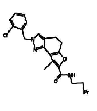 Cc1c(C(=O)NCCC(C)C)oc2c1-c1nn(Cc3ccccc3Cl)cc1CC2